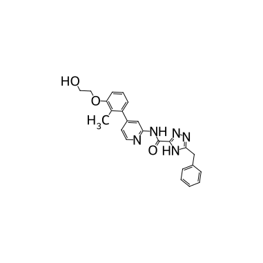 Cc1c(OCCO)cccc1-c1ccnc(NC(=O)c2nnc(Cc3ccccc3)[nH]2)c1